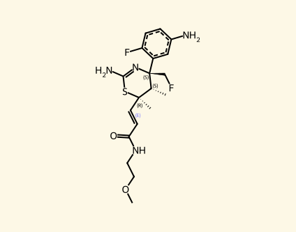 COCCNC(=O)/C=C/[C@@]1(C)SC(N)=N[C@](CF)(c2cc(N)ccc2F)[C@@H]1C